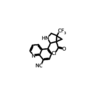 N#Cc1ccc(C2NCC3(C(F)(F)F)CC23C(=O)Cl)c2cccnc12